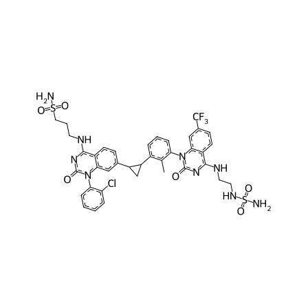 Cc1c(C2CC2c2ccc3c(NCCCS(N)(=O)=O)nc(=O)n(-c4ccccc4Cl)c3c2)cccc1-n1c(=O)nc(NCCNS(N)(=O)=O)c2ccc(C(F)(F)F)cc21